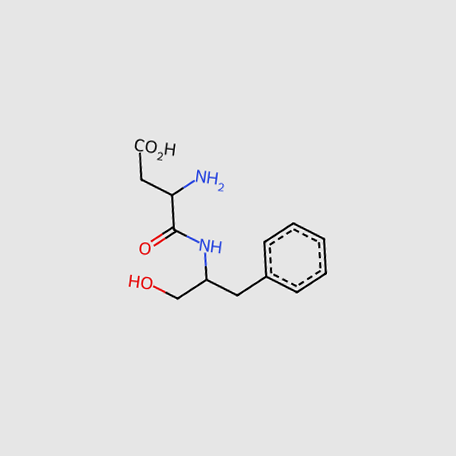 NC(CC(=O)O)C(=O)NC(CO)Cc1ccccc1